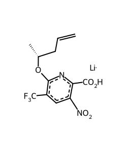 C=CC[C@@H](C)Oc1nc(C(=O)O)c([N+](=O)[O-])cc1C(F)(F)F.[Li]